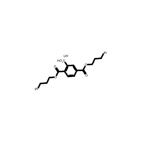 CC(C)CCCOC(=O)c1ccc(C(=O)OCCCC(C)C)c(S(=O)(=O)O)c1.[LiH]